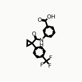 O=C(O)c1cccc(NC(=O)C2(c3ccc(C(F)(F)F)cc3)CC2)c1